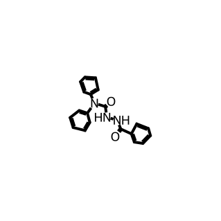 O=C(NNC(=O)N(c1ccccc1)c1ccccc1)c1ccccc1